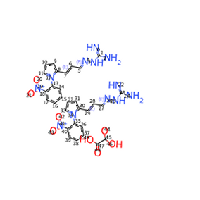 N=C(N)N/N=C/C=C/c1cccn1-c1ccccc1[N+](=O)[O-].N=C(N)N/N=C/C=C/c1cccn1-c1ccccc1[N+](=O)[O-].O=C(O)C(=O)O